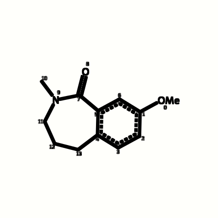 COc1ccc2c(c1)C(=O)N(C)CCC2